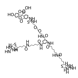 N=C1N[C@H]2[C@H](CS[C@H]2CCCCC(=O)NCCCCCC(=O)Nc2cc(NC(=O)CCCCCNC(=O)CCCC[C@@H]3SC[C@@H]4NC(=N)N[C@@H]43)cc(C(=O)NCCOCCOCCNC(=S)Nc3ccc4c(c3)C(=O)OC43c4ccc(O)cc4Oc4cc(O)ccc43)c2)N1